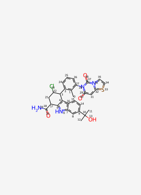 Cc1c(C2c3c([nH]c4cc(C(C)(C)O)ccc34)C(C(N)=O)CC2Cl)cccc1-n1c(=O)cc2sccn2c1=O